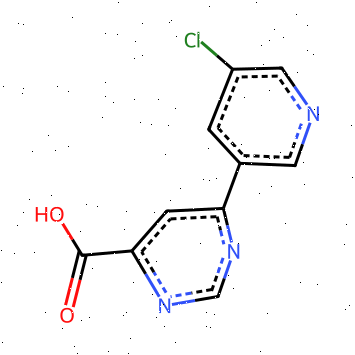 O=C(O)c1cc(-c2cncc(Cl)c2)ncn1